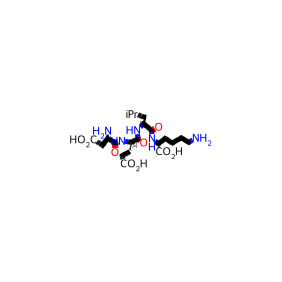 CC(C)C[C@H](NC(=O)[C@H](CCC(=O)O)NC(=O)[C@H](N)CC(=O)O)C(=O)N[C@H](CCCCN)C(=O)O